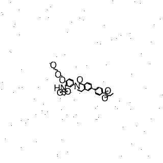 CCS(=O)(=O)c1ccc(-c2ccc3c(c2)CCN(c2ccc(OCOCCOC)c(NS(C)(=O)=O)c2)C3=O)cc1